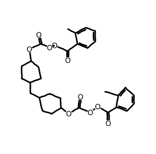 Cc1ccccc1C(=O)OOC(=O)OC1CCC(CC2CCC(OC(=O)OOC(=O)c3ccccc3C)CC2)CC1